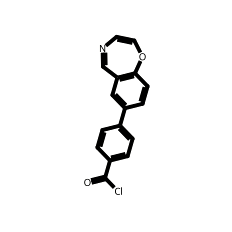 O=C(Cl)c1ccc(-c2ccc3c(c2)C=NC=CO3)cc1